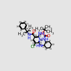 CC(C)(C)OC(=O)N[C@H]1CCCCC1Nc1nc(N)c(C(=O)NC(C)(C)c2ccccc2)cc1Cl